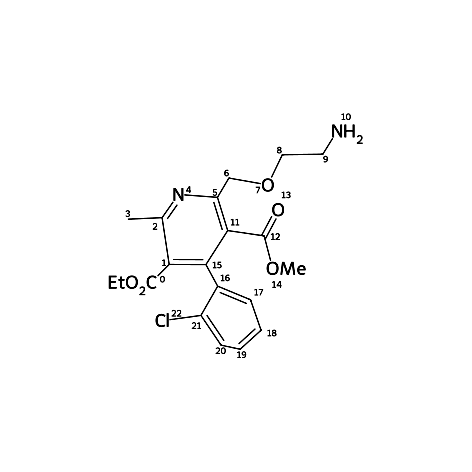 CCOC(=O)c1c(C)nc(COCCN)c(C(=O)OC)c1-c1ccccc1Cl